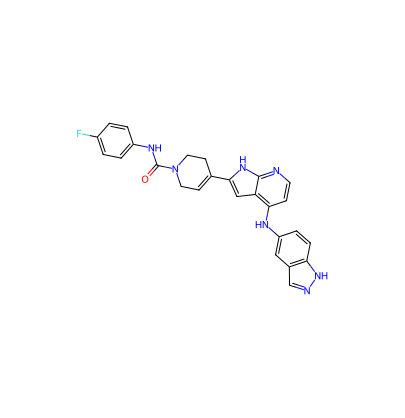 O=C(Nc1ccc(F)cc1)N1CC=C(c2cc3c(Nc4ccc5[nH]ncc5c4)ccnc3[nH]2)CC1